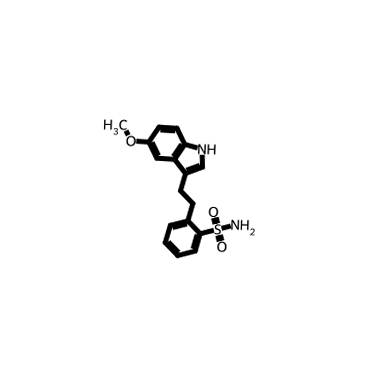 COc1ccc2[nH]cc(CCc3ccccc3S(N)(=O)=O)c2c1